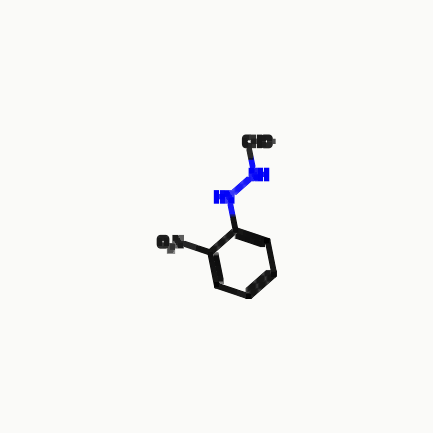 O=[C]NNc1ccccc1[N+](=O)[O-]